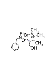 CCN(Cc1ccccc1)O/C=C(\CO)C(C)[C@@H](C)[C@@H](C)Br